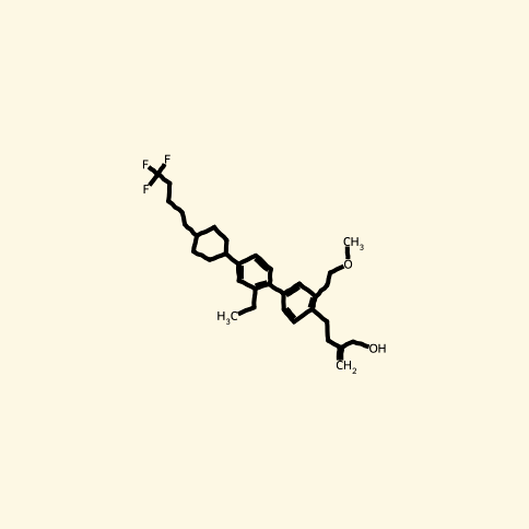 C=C(CO)CCc1ccc(-c2ccc(C3CCC(CCCCC(F)(F)F)CC3)cc2CC)cc1CCOC